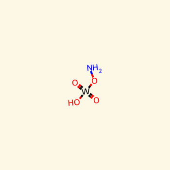 N[O][W](=[O])(=[O])[OH]